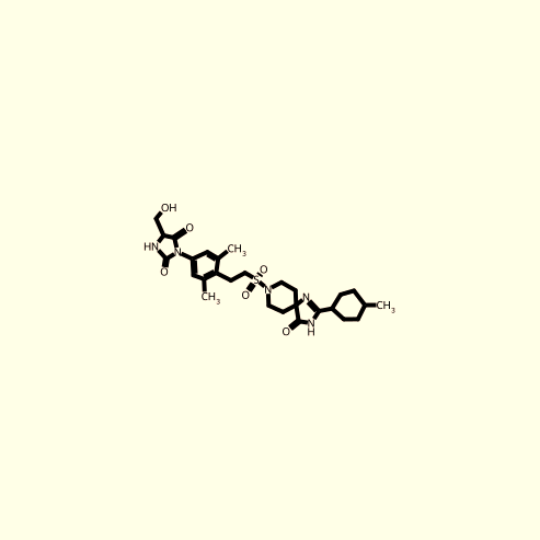 Cc1cc(N2C(=O)NC(CO)C2=O)cc(C)c1CCS(=O)(=O)N1CCC2(CC1)N=C(C1CCC(C)CC1)NC2=O